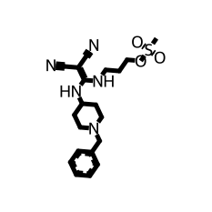 CS(=O)(=O)OCCCNC(NC1CCN(Cc2ccccc2)CC1)=C(C#N)C#N